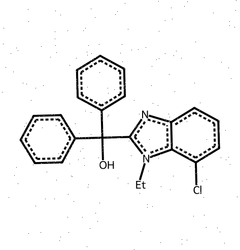 CCn1c(C(O)(c2ccccc2)c2ccccc2)nc2cccc(Cl)c21